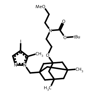 COCCN(CCOC12CC3(C)CC(C)(CC(Cn4ncc(I)c4C)(C3)C1)C2)C(=O)OC(C)(C)C